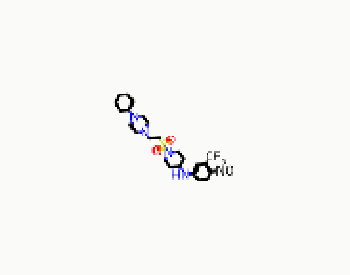 O=Nc1ccc(NC2CCN(S(=O)(=O)CCN3CCN(C4CCCCC4)CC3)CC2)cc1C(F)(F)F